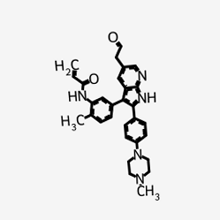 C=CC(=O)Nc1cc(-c2c(-c3ccc(N4CCN(C)CC4)cc3)[nH]c3ncc(CC=O)cc23)ccc1C